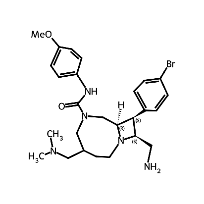 COc1ccc(NC(=O)N2CC(CN(C)C)CCN3[C@H](CN)[C@H](c4ccc(Br)cc4)[C@@H]3C2)cc1